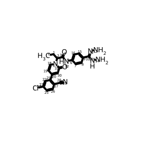 CCC(C(=O)Nc1ccc(/C(=N/N)NN)cc1)n1ccc(-c2cc(Cl)ccc2C#N)cc1=O